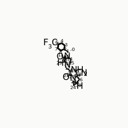 C[C@@H](c1ccc(C(F)(F)F)cc1)N1C(=O)[C@@H]2CC1CN2C[C@H](N)C(=O)N1C2C[C@H]2C[C@H]1C#N